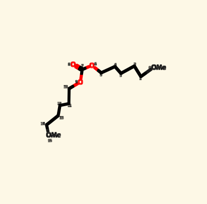 COCCCCCOC(=O)OCCCCCOC